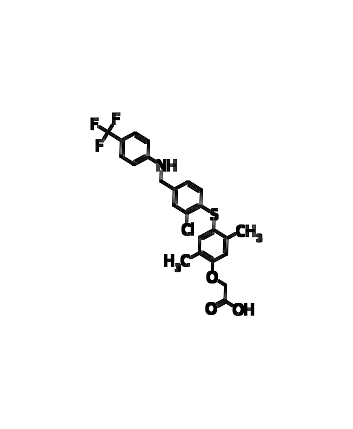 Cc1cc(Sc2ccc(CNc3ccc(C(F)(F)F)cc3)cc2Cl)c(C)cc1OCC(=O)O